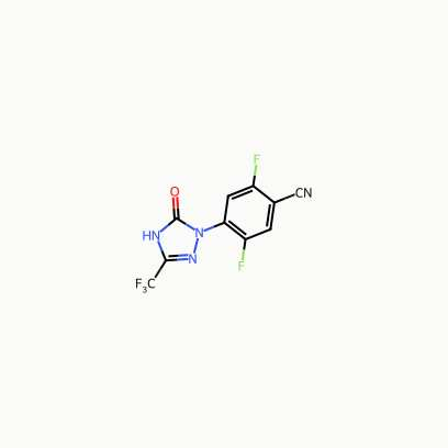 N#Cc1cc(F)c(-n2nc(C(F)(F)F)[nH]c2=O)cc1F